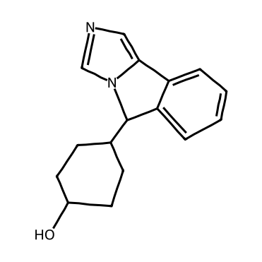 OC1CCC(C2c3ccccc3-c3cncn32)CC1